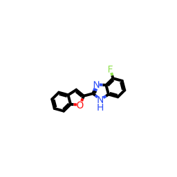 Fc1cccc2[nH]c(-c3cc4ccccc4o3)nc12